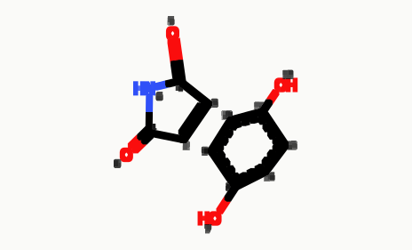 O=C1C=CC(=O)N1.Oc1ccc(O)cc1